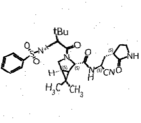 CC(C)(C)C(C#[N+]S(=O)(=O)c1ccccc1)C(=O)N1C[C@H]2C([C@H]1C(=O)N[C@H](C#N)C[C@@H]1CCNC1=O)C2(C)C